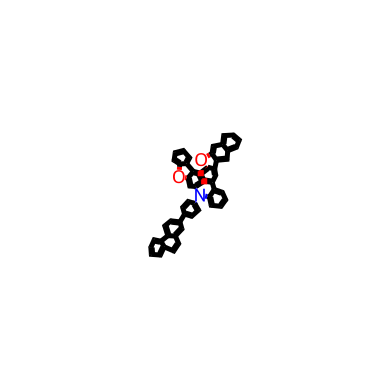 c1ccc(N(c2ccc(-c3ccc4c(ccc5ccccc54)c3)cc2)c2ccc3c(c2)oc2ccccc23)c(-c2ccc3oc4cc5ccccc5cc4c3c2)c1